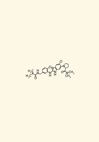 C=C(C)C(=O)NCc1ccc(Cl)c(Nc2nc3cc(Cl)c(N4CCCC4C(=O)N(C)C)cc3[nH]2)c1